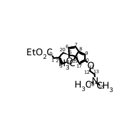 CCOC(=O)CC1=CO[C@@]2(C=CC3=CC(OCCN(C)C)=CC32C)C1